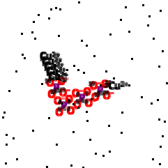 O=P([O-])([O-])[O-].O=P([O-])([O-])[O-].O=P([O-])([O-])[O-].O=P([O-])([O-])[O-].[Ca+2].[Ca+2].[Ca+2].[Cu+2].[Cu+2].[Cu+2]